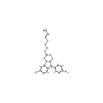 ON=CCCCCN1CCC2C(C1)c1cc(F)ccc1N2c1ccc(F)cc1